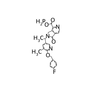 Cc1cc(C(C)N2Cc3c(ccnc3C(=O)OP)C2=O)cnc1OCc1ccc(F)cc1